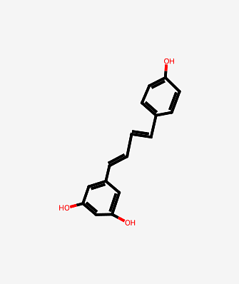 Oc1ccc(C=C/C=C/c2cc(O)cc(O)c2)cc1